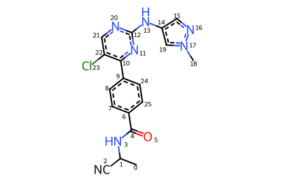 CC(C#N)NC(=O)c1ccc(-c2nc(Nc3cnn(C)c3)ncc2Cl)cc1